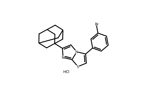 Brc1cccc(-c2csc3nc(C45CC6CC(CC(C6)C4)C5)cn23)c1.Cl